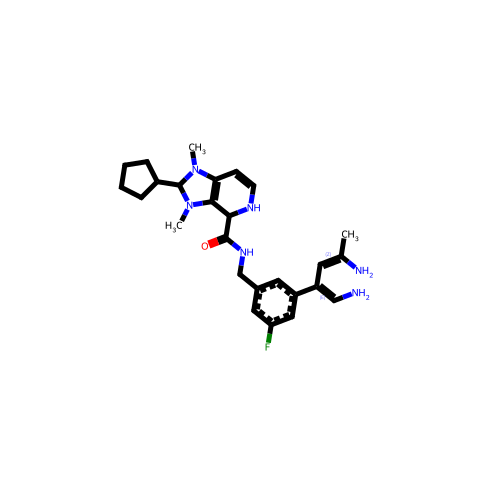 C/C(N)=C/C(=C\N)c1cc(F)cc(CNC(=O)C2NC=CC3=C2N(C)C(C2CCCC2)N3C)c1